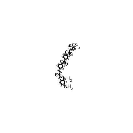 Nc1ccc(COC(=O)C=Cc2ccc(OC(=O)c3ccc(OC(=O)CCC(F)(F)C(F)(F)F)cc3)cc2)c(N)c1